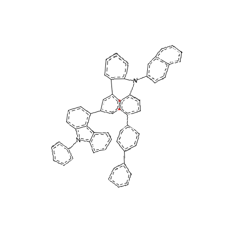 c1ccc(-c2ccc(-c3ccc(N(c4ccc5ccccc5c4)c4ccccc4-c4cccc(-c5cccc6c5c5ccccc5n6-c5ccccc5)c4)cc3)cc2)cc1